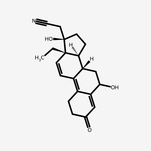 CC[C@]12C=CC3=C4CCC(=O)C=C4C(O)C[C@H]3[C@@H]1CC[C@@]2(O)CC#N